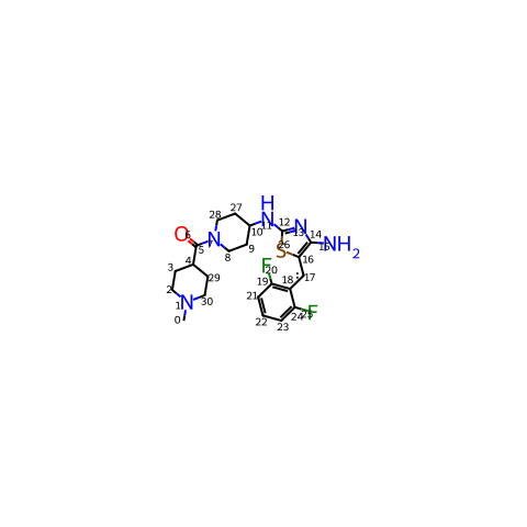 CN1CCC(C(=O)N2CCC(Nc3nc(N)c([C]c4c(F)cccc4F)s3)CC2)CC1